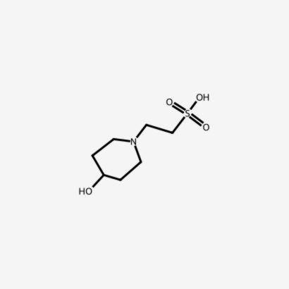 O=S(=O)(O)CCN1CCC(O)CC1